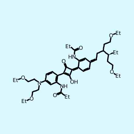 CCOCCC(C/C=c1/cc/c(=C2/C(=O)C(c3ccc(N(CCOCC)CCOCC)cc3NC(=O)CC)=C2O)c(NC(=O)CC)c1)[C@@H](CC)CCOCC